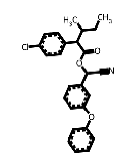 CCC(C)C(C(=O)OC(C#N)c1cccc(Oc2ccccc2)c1)c1ccc(Cl)cc1